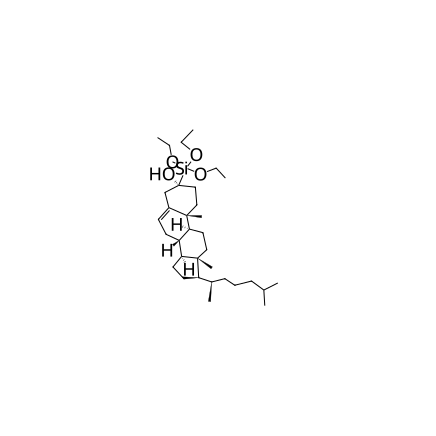 CCO[Si](OCC)(OCC)[C@@]1(O)CC[C@@]2(C)C(=CC[C@H]3[C@@H]4CC[C@H]([C@H](C)CCCC(C)C)[C@@]4(C)CC[C@@H]32)C1